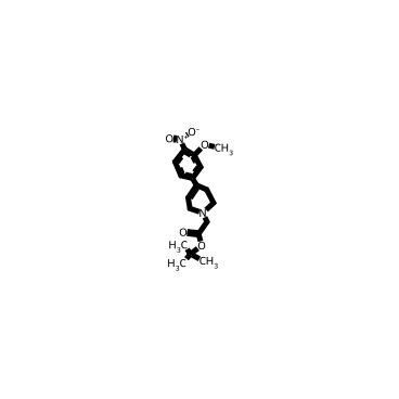 COc1cc(C2=CCN(CC(=O)OC(C)(C)C)CC2)ccc1[N+](=O)[O-]